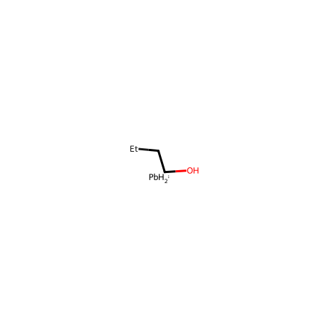 CCCCO.[PbH2]